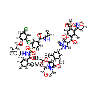 CCc1cc(C)cc(CC)c1-c1c(OC(=O)C(C)(C)C)n2n(c1=O)CCOCC2.COc1ccccc1C(=O)NS(=O)(=O)c1ccc(C(=O)NC2CC2)cc1.Cc1c(C(=O)c2cnn(C)c2O)ccc(S(C)(=O)=O)c1C1=NOCC1.O=C(O)CCCOc1ccc(Cl)cc1Cl